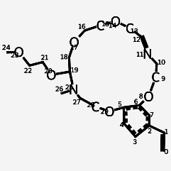 C=Cc1ccc2c(c1)OCC/N=C/COCCOCC(OCCOC)N(C)CCO2